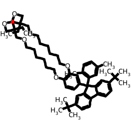 CCC1(COCCCCCCOc2ccc(C3(c4cc(C)ccc4C)c4cc(C(C)(C)C)ccc4-c4ccc(C(C)(C)C)cc43)cc2OCCCCCCOCC2(CC)COC2)COC1